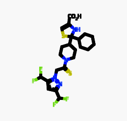 O=C(O)C1=CSC(C2CCCCC2)(C2CCN(C(=S)Cn3nc(C(F)F)cc3C(F)F)CC2)N1